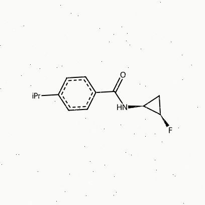 CC(C)c1ccc(C(=O)N[C@H]2C[C@H]2F)cc1